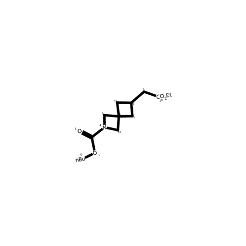 CCCCOC(=O)N1CC2(CC(CC(=O)OCC)C2)C1